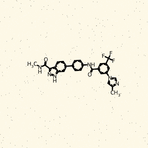 CNC(=O)c1n[nH]c2cc(-c3ccc(NC(=O)c4cc(-n5cnc(C)c5)cc(C(F)(F)F)c4)cc3)ccc12